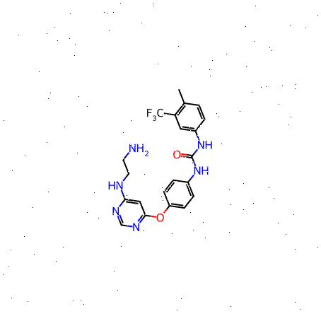 Cc1ccc(NC(=O)Nc2ccc(Oc3cc(NCCN)ncn3)cc2)cc1C(F)(F)F